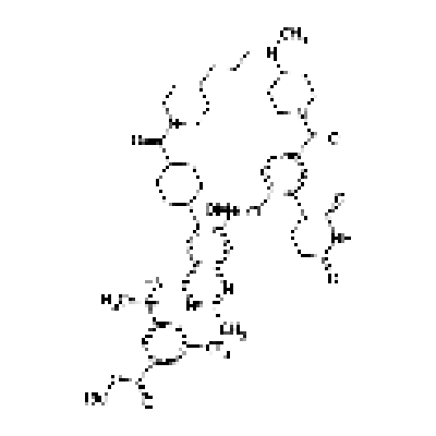 COc1cc2nc(C)nc(N[C@H](C)c3cc(C(=O)OC(C)(C)C)cc(C(F)(F)F)c3)c2cc1C1CCC(C(=O)N2CCC(CCCN(C)C3CCN(C(=O)c4ccc(Cl)c(N5CCC(=O)NC5=O)c4)CC3)CC2)CC1